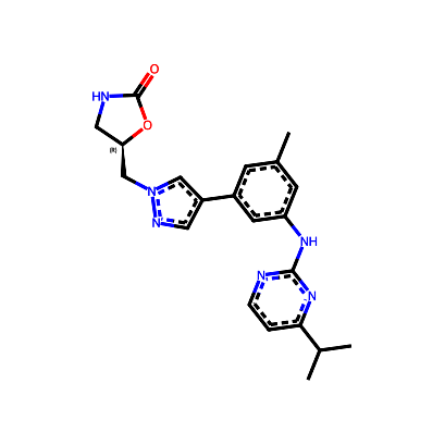 Cc1cc(Nc2nccc(C(C)C)n2)cc(-c2cnn(C[C@H]3CNC(=O)O3)c2)c1